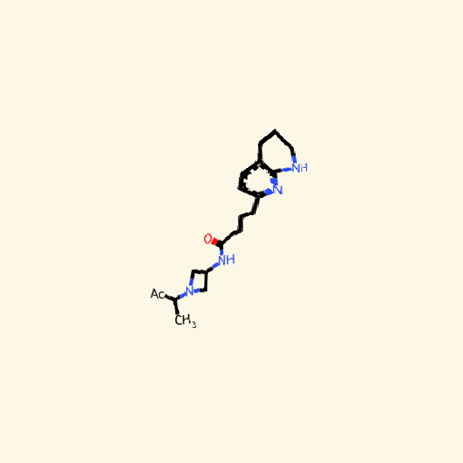 CC(=O)C(C)N1CC(NC(=O)CCCc2ccc3c(n2)NCCC3)C1